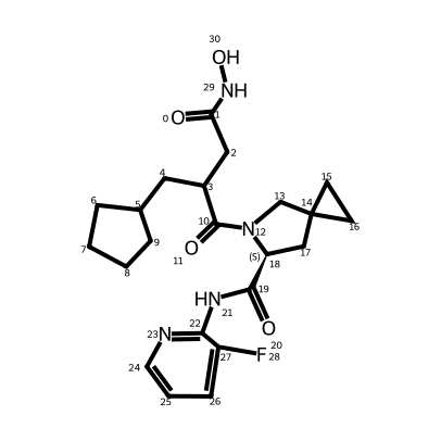 O=C(CC(CC1CCCC1)C(=O)N1CC2(CC2)C[C@H]1C(=O)Nc1ncccc1F)NO